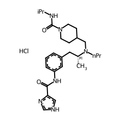 CCCN(CC1CCN(C(=O)NC(C)C)CC1)[C@H](C)Cc1cccc(NC(=O)c2c[nH]cn2)c1.Cl